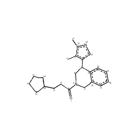 Cc1c(C2CN(C(=O)CCC3CCCC3)Cc3ccccc32)cnn1C